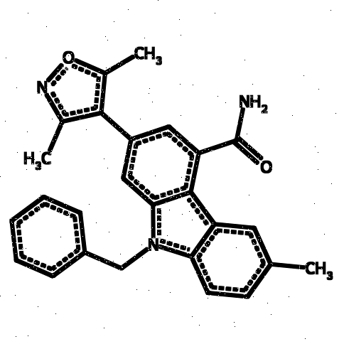 Cc1ccc2c(c1)c1c(C(N)=O)cc(-c3c(C)noc3C)cc1n2Cc1ccccc1